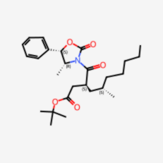 CCCCC[C@H](C)C[C@@H](CC(=O)OC(C)(C)C)C(=O)N1C(=O)O[C@@H](c2ccccc2)[C@H]1C